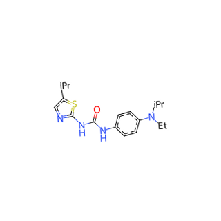 CCN(c1ccc(NC(=O)Nc2ncc(C(C)C)s2)cc1)C(C)C